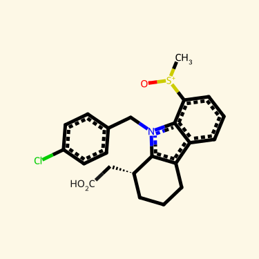 C[S+]([O-])c1cccc2c3c(n(Cc4ccc(Cl)cc4)c12)[C@@H](CC(=O)O)CCC3